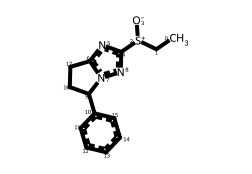 CC[S+]([O-])c1nc2n(n1)C(c1ccccc1)CC2